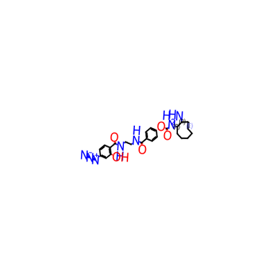 [N-]=[N+]=Nc1ccc(C(=O)NCCNC(=O)c2ccc(OC(=O)N[C@@H]3CCCC/C=C/[C@H]3N)cc2)c(O)c1